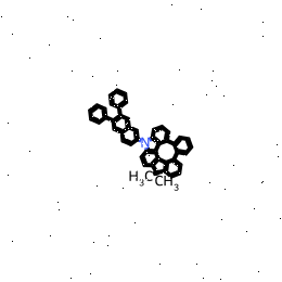 CC1(C)c2cccc3c4ccccc4c4cccc5c4c4c(c1ccc4n5-c1ccc4cc(-c5ccccc5)c(-c5ccccc5)cc4c1)c23